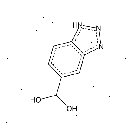 OC(O)c1ccc2[nH]nnc2c1